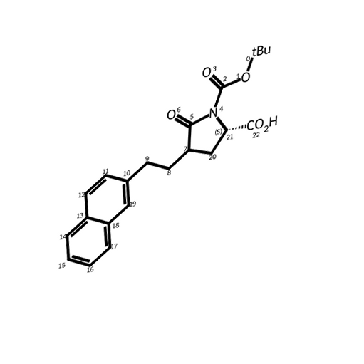 CC(C)(C)OC(=O)N1C(=O)C(CCc2ccc3ccccc3c2)C[C@H]1C(=O)O